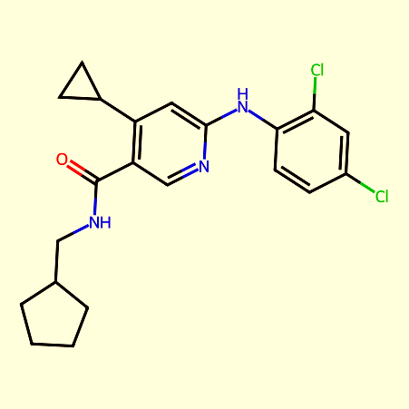 O=C(NCC1CCCC1)c1cnc(Nc2ccc(Cl)cc2Cl)cc1C1CC1